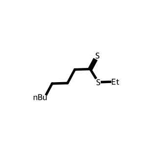 CCCCCCCC(=S)SCC